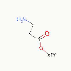 [CH2]CCOC(=O)CCN